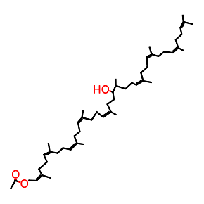 CC(=O)OCC=C(C)CCC=C(C)CCC=C(C)CCC=C(C)CCC=C(C)CCC(O)C(C)CCC=C(C)CCC=C(C)CCC=C(C)CCC=C(C)C